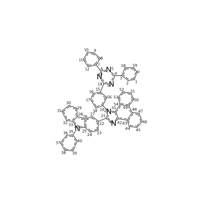 c1ccc(-c2nc(-c3ccccc3)nc(-c3cccc(-n4c(-c5ccc6c(c5)c5ccccc5n6-c5ccccc5)nc5c6ccccc6c6ccccc6c54)c3)n2)cc1